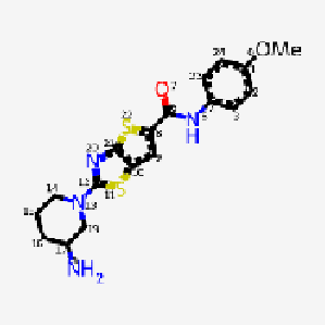 COc1ccc(NC(=O)c2cc3sc(N4CCCC(N)C4)nc3s2)cc1